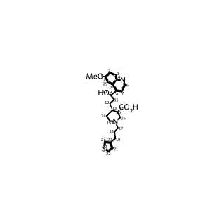 COc1ccc2nccc(C(O)CC[C@@H]3CCN(CCCc4ccsc4)C[C@@H]3C(=O)O)c2c1